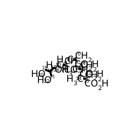 C=C(C)C(=O)O.C=C(C)C(=O)O.C=C(C)C(=O)O.C=C(C)C(=O)O.OCC(CO)CO